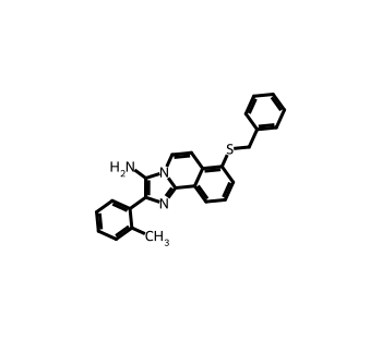 Cc1ccccc1-c1nc2c3cccc(SCc4ccccc4)c3ccn2c1N